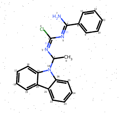 CC(/N=C(Cl)\N=C(/N)c1ccccc1)n1c2ccccc2c2ccccc21